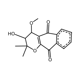 COC1C2=C(OC(C)(C)C1O)C(=O)c1ccccc1C2=O